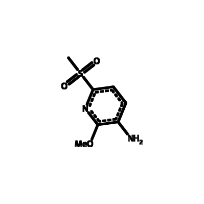 COc1nc(S(C)(=O)=O)ccc1N